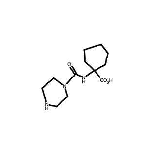 O=C(NC1(C(=O)O)CCCCC1)N1CCNCC1